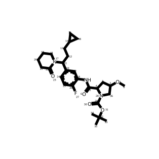 COC1CC(C(=O)Nc2cc(C(CCC3CC3)N3CCCCC3=O)ccc2F)N(C(=O)OC(C)(C)C)C1